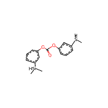 C[SiH](C)c1cccc(OC(=O)Oc2cccc([SiH](C)C)c2)c1